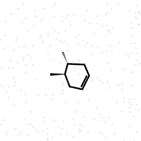 C[C@@H]1CC=CC[C@H]1C